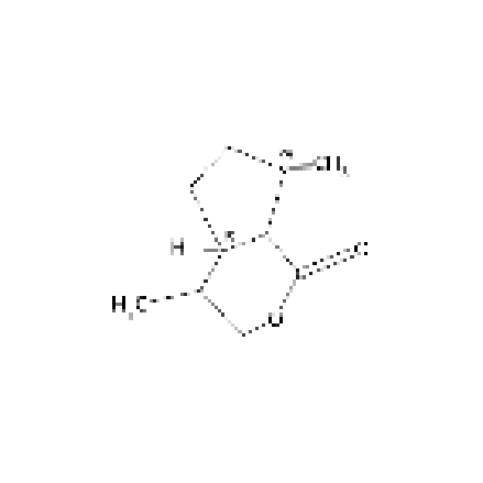 CC1COC(=O)C2[C@@H]1CC[C@@H]2C